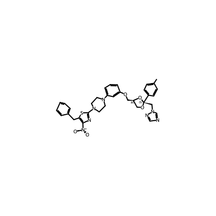 Cc1ccc([C@]2(Cn3cncn3)OC[C@@H](COc3cccc(N4CCN(c5nc([N+](=O)[O-])c(Cc6ccccc6)s5)CC4)c3)O2)cc1